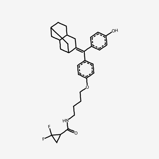 O=C(NCCCCOc1ccc(/C(=C2/CC3CCC4CC2CC3C4)c2ccc(O)cc2)cc1)C1CC1(F)F